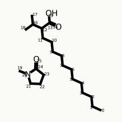 CCCCCCCCCCCCC(C(=O)O)C(C)C.CN1CCCC1=O